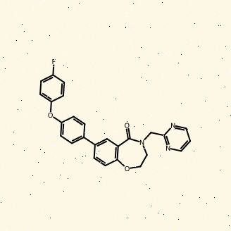 O=C1c2cc(-c3ccc(Oc4ccc(F)cc4)cc3)ccc2OCCN1Cc1ncccn1